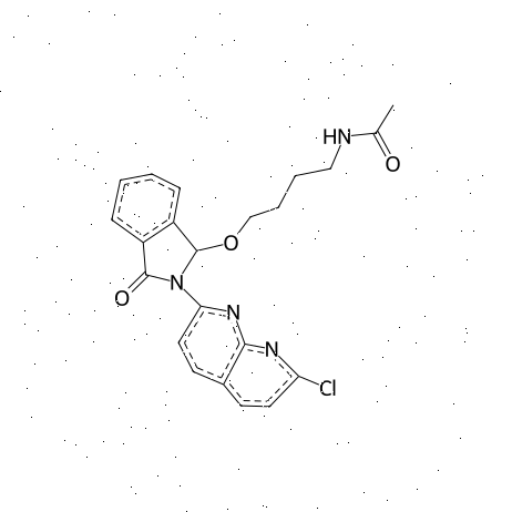 CC(=O)NCCCCOC1c2ccccc2C(=O)N1c1ccc2ccc(Cl)nc2n1